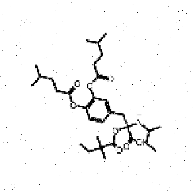 CCC(C)N[C@@](Cc1ccc(OC(=O)CCC(C)C)c(OC(=O)CCC(C)C)c1)(OC(=O)C(C)(C)CC)C(=O)O